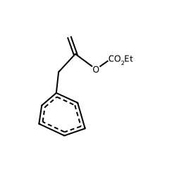 [CH2]COC(=O)OC(=C)Cc1ccccc1